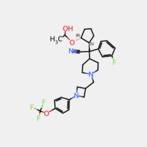 CC(O)O[C@@H]1CCC[C@H]1C(C#N)(c1cccc(F)c1)C1CCN(CC2CN(c3ccc(OC(F)(F)F)cc3)C2)CC1